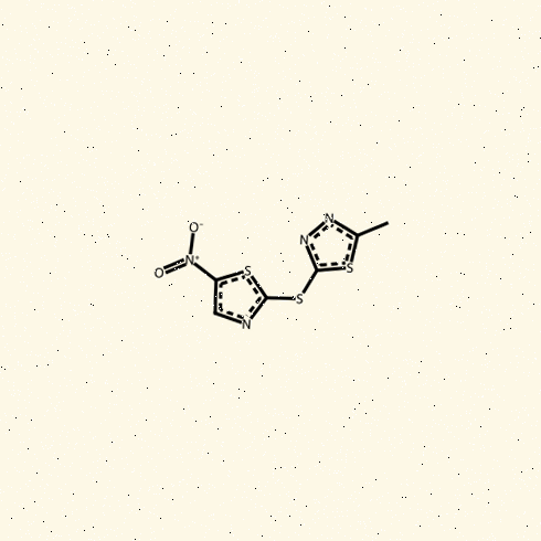 Cc1nnc(Sc2ncc([N+](=O)[O-])s2)s1